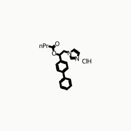 CCCC(=O)OC(Cn1ccnc1)c1ccc(-c2ccccc2)cc1.Cl